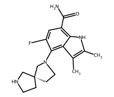 Cc1[nH]c2c(C(N)=O)cc(F)c(N3CC[C@@]4(CCNC4)C3)c2c1C